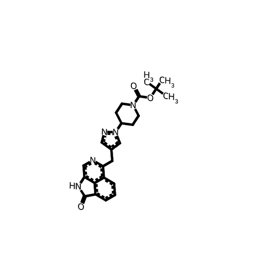 CC(C)(C)OC(=O)N1CCC(n2cc(Cc3ncc4c5c(cccc35)C(=O)N4)cn2)CC1